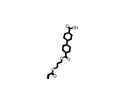 C=CC(=O)OCCCOC(=O)C1CCC(C2CCC(C(=O)O)CC2)CC1